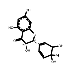 [2H]C1(O)C=CC([C@H]2Oc3cc(O)cc(O)c3C(=O)[C@@H]2O)=CC1O